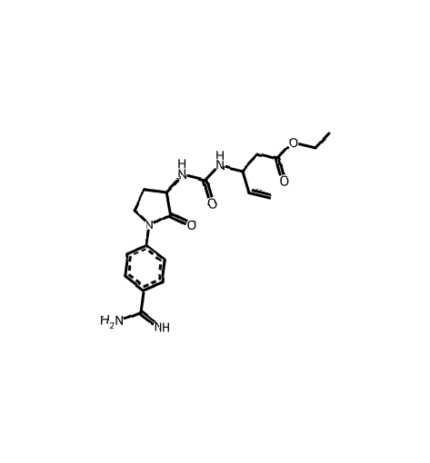 C=CC(CC(=O)OCC)NC(=O)NC1CCN(c2ccc(C(=N)N)cc2)C1=O